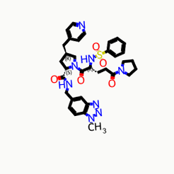 Cn1nnc2cc(CNC(=O)[C@@H]3C[C@@H](Cc4ccncc4)CN3C(=O)[C@@H](CCC(=O)N3CCCC3)NS(=O)(=O)c3ccccc3)ccc21